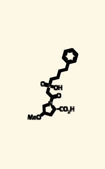 COC1C[C@@H](C(=O)O)N(C(=O)CP(=O)(O)CCCCc2ccccc2)C1